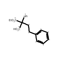 CCCC(CCc1ccccc1)(C(=O)O)C(=O)OCC